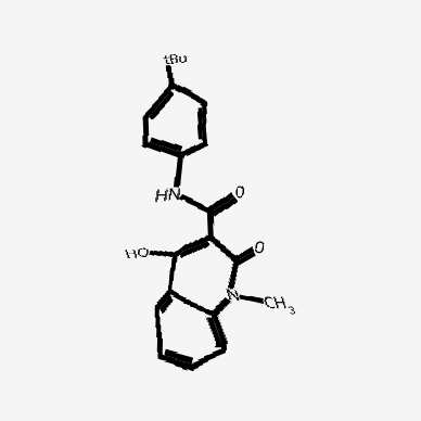 Cn1c(=O)c(C(=O)Nc2ccc(C(C)(C)C)cc2)c(O)c2ccccc21